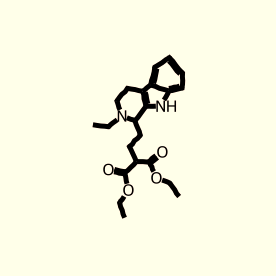 CCOC(=O)C(CCC1c2[nH]c3ccccc3c2CCN1CC)C(=O)OCC